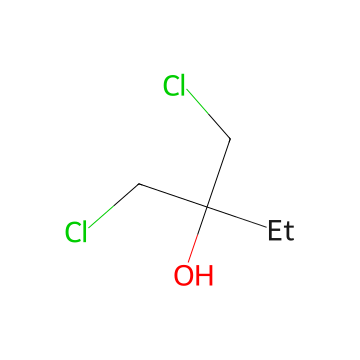 CCC(O)(CCl)CCl